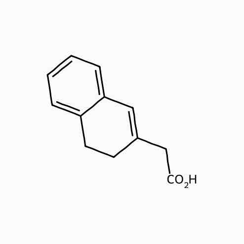 O=C(O)CC1=Cc2ccccc2CC1